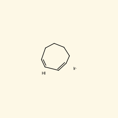 C1=CCCCCC=C1.I.[Ir]